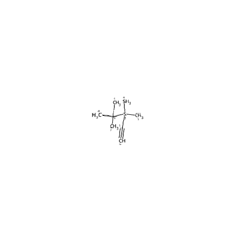 C#C[Si](C)([SiH3])C(C)(C)C